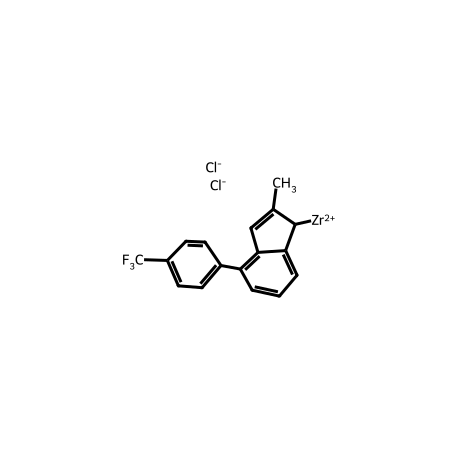 CC1=Cc2c(-c3ccc(C(F)(F)F)cc3)cccc2[CH]1[Zr+2].[Cl-].[Cl-]